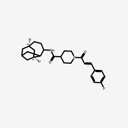 O=C(NC1CC[C@@H]2CC3CC1[C@@H](C3)C2)C1CCN(C(=O)/C=C/c2ccc(F)cc2)CC1